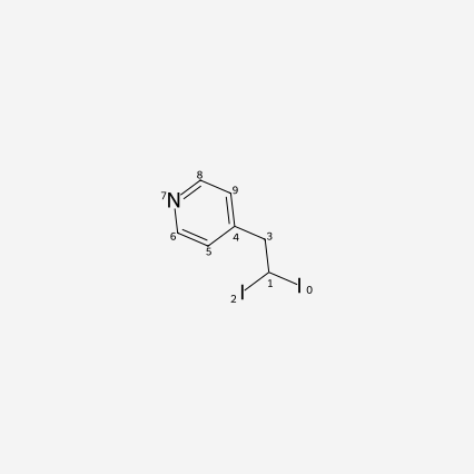 IC(I)Cc1ccncc1